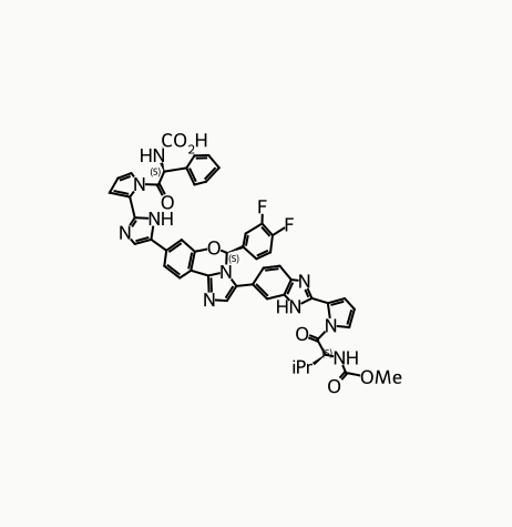 COC(=O)N[C@H](C(=O)n1cccc1-c1nc2ccc(-c3cnc4n3[C@H](c3ccc(F)c(F)c3)Oc3cc(-c5cnc(-c6cccn6C(=O)[C@@H](NC(=O)O)c6ccccc6)[nH]5)ccc3-4)cc2[nH]1)C(C)C